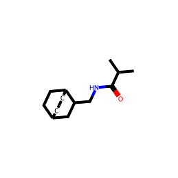 CC(C)C(=O)NCC1CC2CCC1CC2